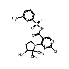 CC1CCN(c2nc(Cl)ncc2C(=O)NS(=O)(=O)c2cccc(N)n2)C1(C)C